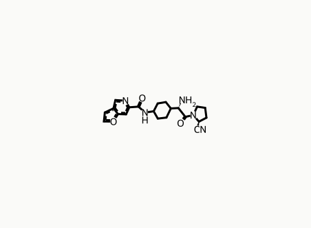 N#C[C@@H]1CCCN1C(=O)[C@@H](N)C1CCC(NC(=O)c2cc3occc3cn2)CC1